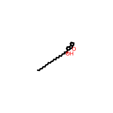 CCCCCCCCCCCCCCCCCCCCCC(O)c1ccc2c(c1)C(=O)c1ccccc1-2